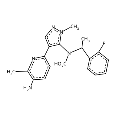 Cc1nc(-c2cnn(C)c2N(C(=O)O)C(C)c2ccccc2F)ccc1N